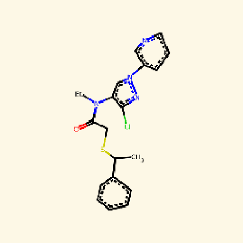 CCN(C(=O)CSC(C)c1ccccc1)c1cn(-c2cccnc2)nc1Cl